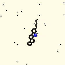 CCC/C=C/c1ccc2c3ccc4c5ccccc5ccc4c3n(C)c2c1